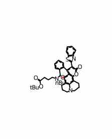 CCCCN(CCCC(=O)OC(C)(C)C)C(=O)c1ccccc1-c1c(-c2nc3ccccc3s2)c(=O)oc2c3c4c(cc12)CCCN4CCC3